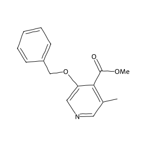 COC(=O)c1c(C)cncc1OCc1ccccc1